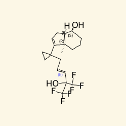 C[C@@]12CCC[C@H](O)[C@@H]1CC=C2C1(C/C=C/C(O)(C(F)(F)F)C(F)(F)F)CC1